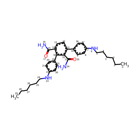 CCCCCCNc1ccc(-c2ccc(C(N)=O)c(-c3ccc(NCCCCCC)cc3)c2C(N)=O)cc1